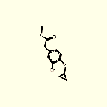 COC(=O)Cc1ccc(SC2CC2)c(Br)c1